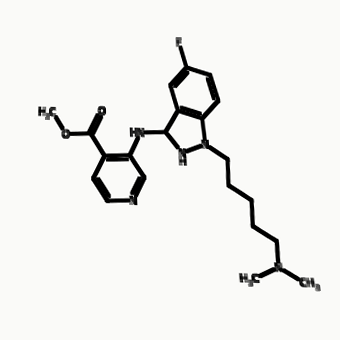 COC(=O)c1ccncc1NC1NN(CCCCCN(C)C)c2ccc(F)cc21